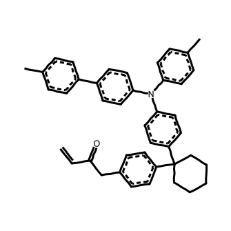 C=CC(=O)Cc1ccc(C2(c3ccc(N(c4ccc(C)cc4)c4ccc(-c5ccc(C)cc5)cc4)cc3)CCCCC2)cc1